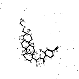 CCOC[C@@]1(O)CC[C@@H]2C3CC[C@]4(C)[C@@H]([C@H](C)NC(=O)c5ccc(C#N)cc5F)CCC[C@H]4[C@@H]3CC[C@@H]2C1